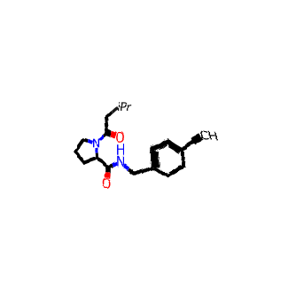 C#Cc1ccc(CNC(=O)C2CCCN2C(=O)CC(C)C)cc1